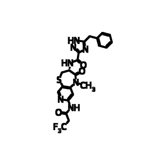 CN1C(=O)[C@@H](NC(=O)c2n[nH]c(Cc3ccccc3)n2)CSc2cnc(NC(=O)CC(F)(F)F)cc21